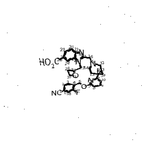 N#Cc1ccc(COc2cccc(C34CCN(Cc5nc6ccc(C(=O)O)cc6n5C[C@@H]5CCO5)C[C@H]3C4)n2)c(F)c1